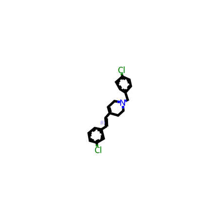 Clc1ccc(CN2CC=C(/C=C/c3cccc(Cl)c3)CC2)cc1